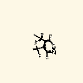 CC(F)(F)c1c(Cl)nnc(Cl)c1C(C)(F)F